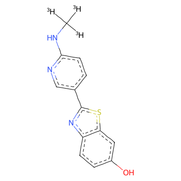 [3H]C([3H])([3H])Nc1ccc(-c2nc3ccc(O)cc3s2)cn1